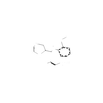 CCOc1ccccc1OCC1CNCCO1.O=C(O)C=CC(=O)O